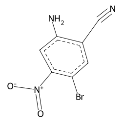 N#Cc1cc(Br)c([N+](=O)[O-])cc1N